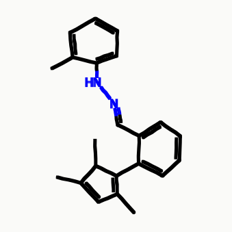 CC1=CC(C)=C(c2ccccc2C=NNc2ccccc2C)C1C